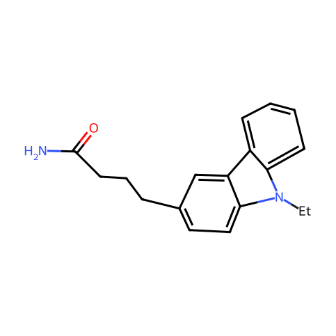 CCn1c2ccccc2c2cc(CCCC(N)=O)ccc21